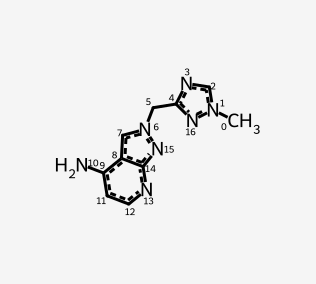 Cn1cnc(Cn2cc3c(N)ccnc3n2)n1